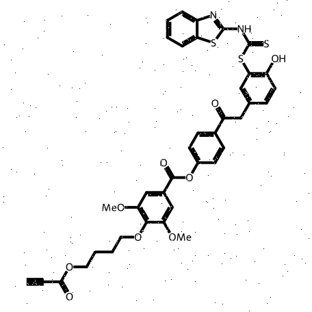 C#CC(=O)OCCCCOc1c(OC)cc(C(=O)Oc2ccc(C(=O)Cc3ccc(O)c(SC(=S)Nc4nc5ccccc5s4)c3)cc2)cc1OC